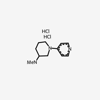 CNC1CCCN(c2ccncc2)C1.Cl.Cl